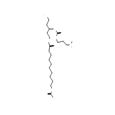 CCCCCCCCCCCCC(CCOC(=O)CCCCCCCCCOC(=O)CCCCCCC)OC(=O)OCCCN(CC)CC